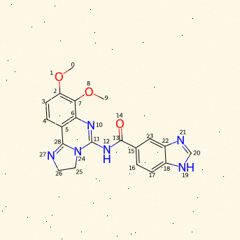 COc1ccc2c(c1OC)N=C(NC(=O)c1ccc3[nH]cnc3c1)N1CCN=C21